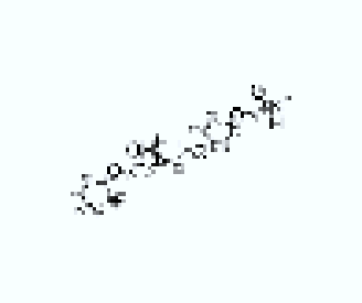 CNC(=O)COc1ccc(OCCNCC(O)COc2ccccc2F)cc1